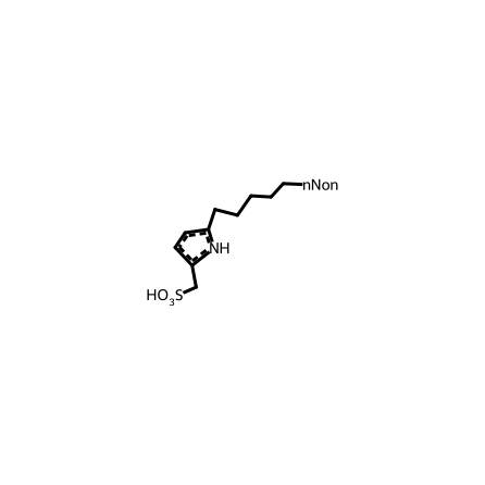 CCCCCCCCCCCCCCc1ccc(CS(=O)(=O)O)[nH]1